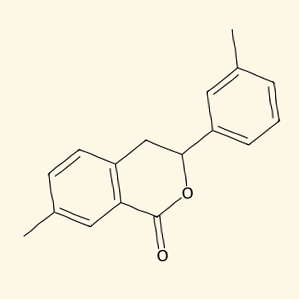 Cc1cccc(C2Cc3ccc(C)cc3C(=O)O2)c1